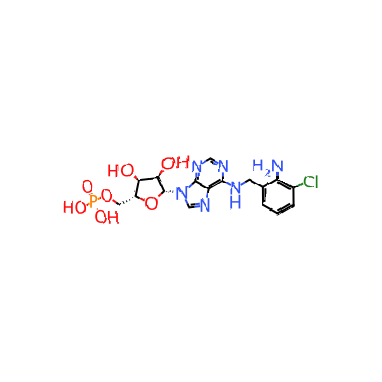 Nc1c(Cl)cccc1CNc1ncnc2c1ncn2[C@@H]1O[C@H](COP(=O)(O)O)[C@@H](O)[C@H]1O